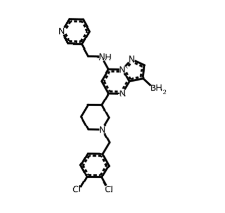 Bc1cnn2c(NCc3cccnc3)cc(C3CCCN(Cc4ccc(Cl)c(Cl)c4)C3)nc12